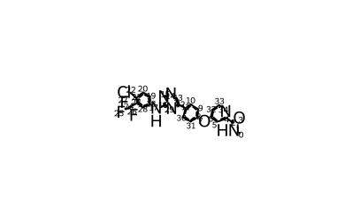 CNC(=O)c1cc(Oc2ccc(-c3cnnc(Nc4ccc(Cl)c(C(F)(F)F)c4)n3)cc2)ccn1